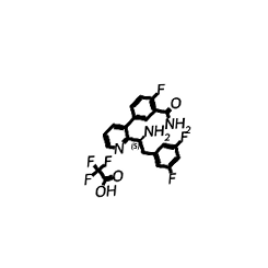 NC(=O)c1cc(-c2cccnc2[C@@H](N)Cc2cc(F)cc(F)c2)ccc1F.O=C(O)C(F)(F)F